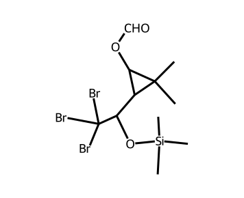 CC1(C)C(OC=O)C1C(O[Si](C)(C)C)C(Br)(Br)Br